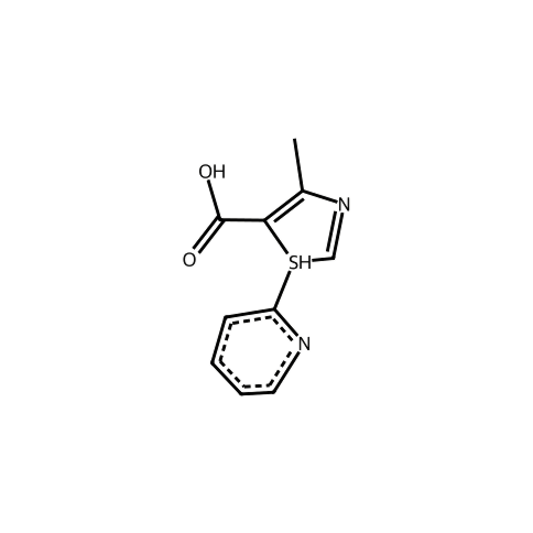 CC1=C(C(=O)O)[SH](c2ccccn2)C=N1